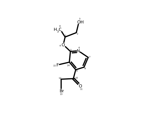 CC(CO)Oc1nccc(C(=O)CBr)c1F